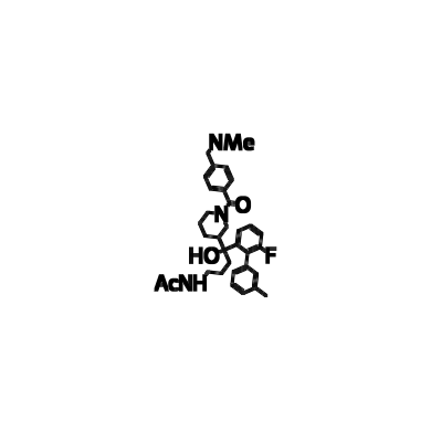 CNCc1ccc(C(=O)N2CCCC(C(O)(CCCNC(C)=O)c3cccc(F)c3-c3cccc(C)c3)C2)cc1